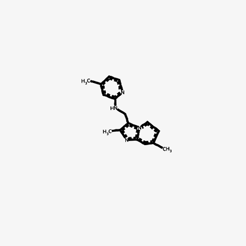 Cc1ccnc(NCc2c(C)nc3cc(C)ccn23)c1